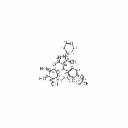 CCOC(=O)OC[C@H]1O[C@@H](Oc2nn(C3CCOCC3)c(C)c2Cc2ccc(OC(F)F)cc2)[C@H](O)[C@@H](O)[C@@H]1O